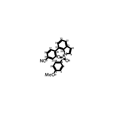 COc1ccc(S(=O)(=O)n2ccc3cccc(-c4ccc(C#N)cc4)c32)cc1